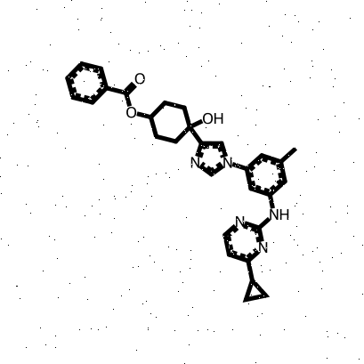 Cc1cc(Nc2nccc(C3CC3)n2)cc(-n2cnc(C3(O)CCC(OC(=O)c4ccccc4)CC3)c2)c1